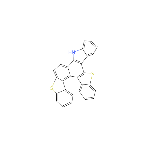 c1ccc2c(c1)[nH]c1c3ccc4sc5ccccc5c4c3c3c4ccccc4sc3c21